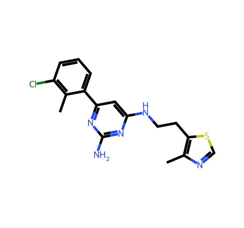 Cc1ncsc1CCNc1cc(-c2cccc(Cl)c2C)nc(N)n1